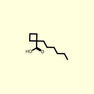 CCCCCCC1(C(=O)O)CCC1